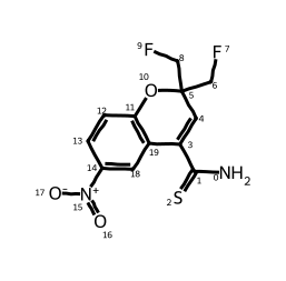 NC(=S)C1=CC(CF)(CF)Oc2ccc([N+](=O)[O-])cc21